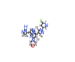 Cc1nn(-c2cncc(F)c2)c(C)c1-c1cc(N2CCOC[C@H]2C)nc2c(-c3ccn[nH]3)cnn12